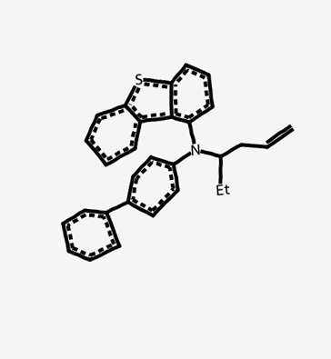 C=CCC(CC)N(c1ccc(-c2ccccc2)cc1)c1cccc2sc3ccccc3c12